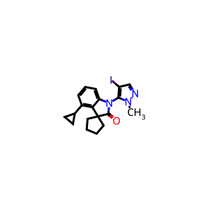 Cn1ncc(I)c1N1C(=O)C2(CCCC2)c2c(C3CC3)cccc21